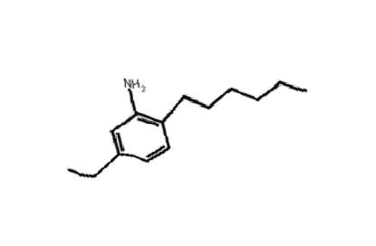 CCCCCCc1ccc(CC)cc1N